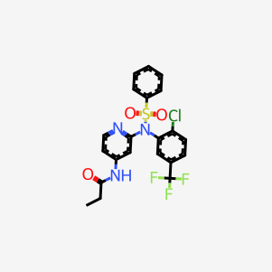 CCC(=O)Nc1ccnc(N(c2cc(C(F)(F)F)ccc2Cl)S(=O)(=O)c2ccccc2)c1